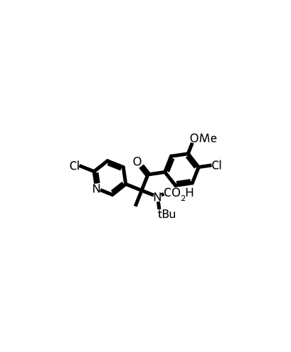 COc1cc(C(=O)C(C)(c2ccc(Cl)nc2)N(C(=O)O)C(C)(C)C)ccc1Cl